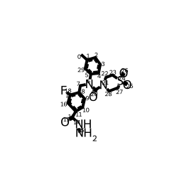 Cc1cccc(N(Cc2ccc(C(=O)NN)cc2F)C(=O)N2CCS(=O)(=O)CC2)c1